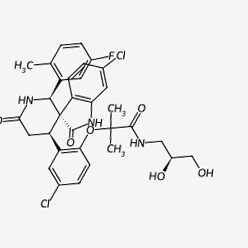 Cc1ccc(F)cc1[C@@H]1NC(=O)C[C@H](c2cc(Cl)ccc2OC(C)(C)C(=O)NC[C@H](O)CO)[C@@]12C(=O)Nc1cc(Cl)ccc12